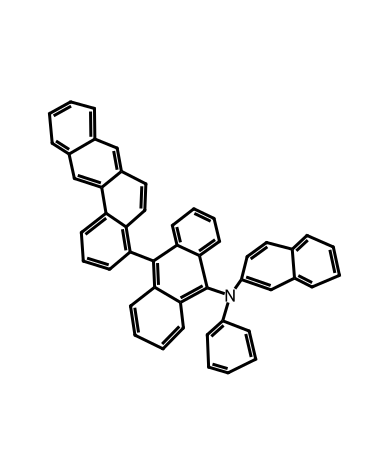 c1ccc(N(c2ccc3ccccc3c2)c2c3ccccc3c(-c3cccc4c3ccc3cc5ccccc5cc34)c3ccccc23)cc1